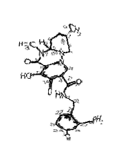 C[C@@H]1CCN2[C@@H](C1)N(C)C(=O)c1c(O)c(=O)c(C(=O)NCc3ccc(Cl)cc3P)cn12